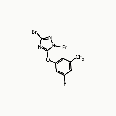 CC(C)n1nc(Br)nc1Oc1cc(F)cc(C(F)(F)F)c1